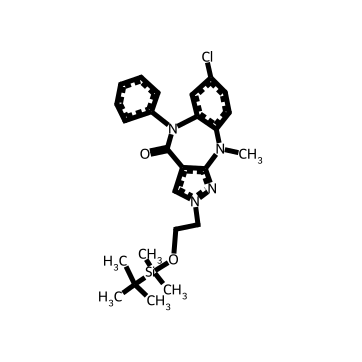 CN1c2ccc(Cl)cc2N(c2ccccc2)C(=O)c2cn(CCO[Si](C)(C)C(C)(C)C)nc21